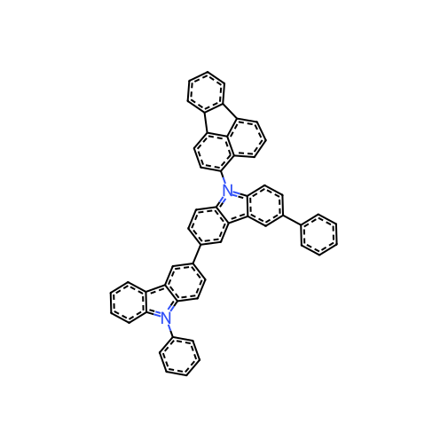 c1ccc(-c2ccc3c(c2)c2cc(-c4ccc5c(c4)c4ccccc4n5-c4ccccc4)ccc2n3-c2ccc3c4c(cccc24)-c2ccccc2-3)cc1